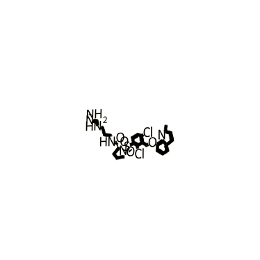 Cc1ccc2cccc(OCc3c(Cl)ccc(S(=O)(=O)N4CCC[C@H]4C(=O)NCCCNC=NN)c3Cl)c2n1